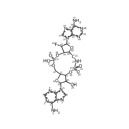 Nc1ncnc2c1ncn2C1OC2COP(=O)(O)OC3C(CNS(=O)(=O)OC2C1O)OC(n1cnc2c(N)ncnc21)C3F